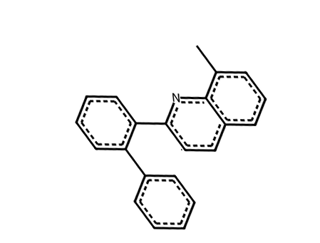 Cc1cccc2c[c]c(-c3ccccc3-c3ccccc3)nc12